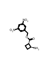 N[C@H]1CC[C@H]1C(=O)OCc1cc([N+](=O)[O-])cc([N+](=O)[O-])c1